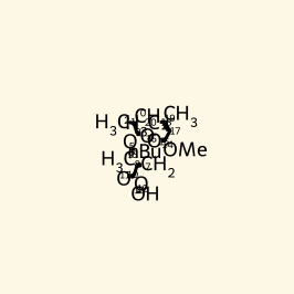 C=C(C)C(=O)OCCCC.C=C(C)C(=O)OO.COC(=O)C=C(C)C